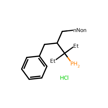 CCCCCCCCCCC(Cc1ccccc1)C(P)(CC)CC.Cl